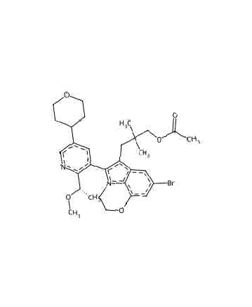 CO[C@@H](C)c1ncc(C2CCOCC2)cc1-c1c(CC(C)(C)COC(C)=O)c2cc(Br)cc3c2n1CCO3